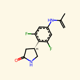 C=C(C)Nc1cc(F)c([C@@H]2CNC(=O)C2)c(F)c1